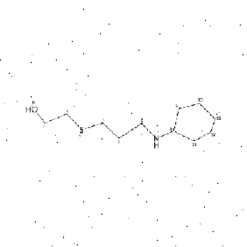 OCCSCCCNC1CCCCC1